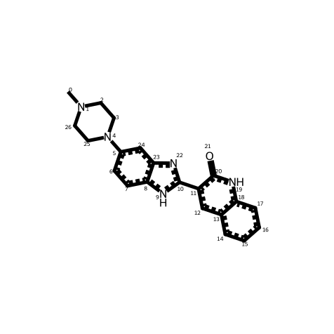 CN1CCN(c2ccc3[nH]c(-c4cc5ccccc5[nH]c4=O)nc3c2)CC1